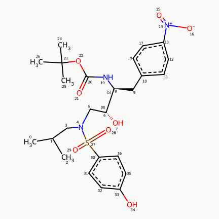 CC(C)CN(C[C@@H](O)[C@H](Cc1ccc([N+](=O)[O-])cc1)NC(=O)OC(C)(C)C)S(=O)(=O)c1ccc(O)cc1